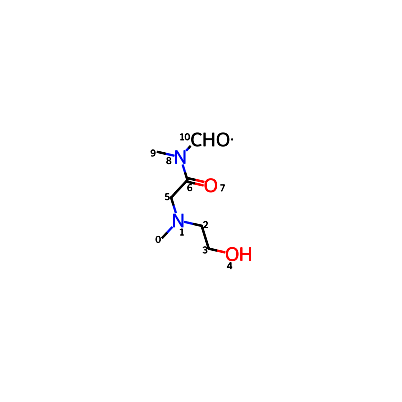 CN(CCO)CC(=O)N(C)[C]=O